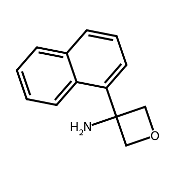 NC1(c2cccc3ccccc23)COC1